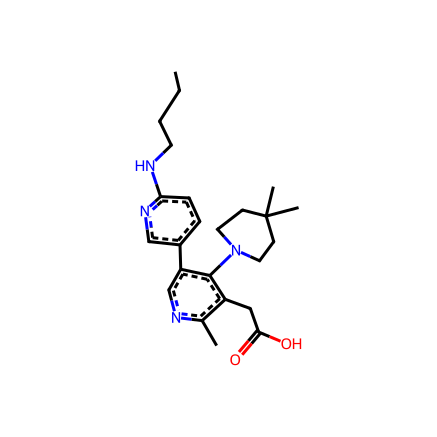 CCCCNc1ccc(-c2cnc(C)c(CC(=O)O)c2N2CCC(C)(C)CC2)cn1